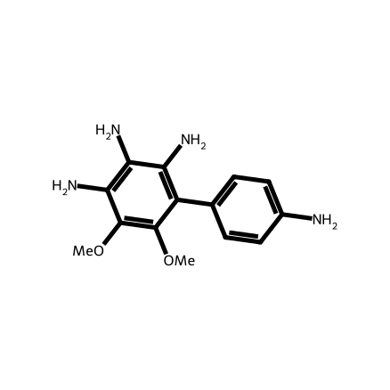 COc1c(N)c(N)c(N)c(-c2ccc(N)cc2)c1OC